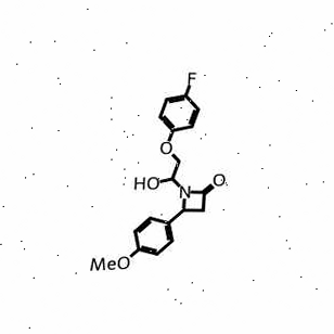 COc1ccc(C2CC(=O)N2C(O)COc2ccc(F)cc2)cc1